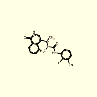 C[C@H](c1c[nH]c(=O)c2ccccc12)N(C)C(=O)Nc1cccc(C#N)c1F